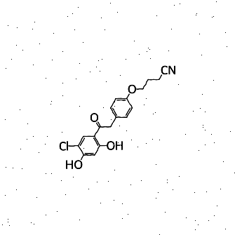 N#CCCCOc1ccc(CC(=O)c2cc(Cl)c(O)cc2O)cc1